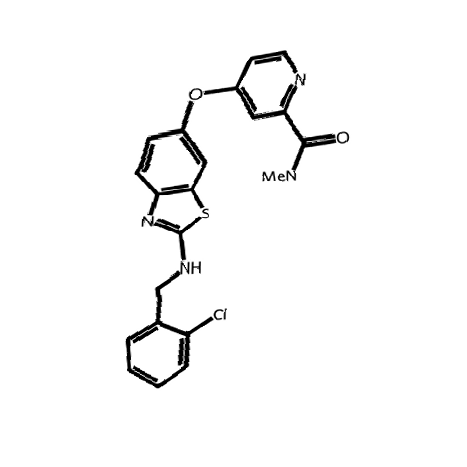 CNC(=O)c1cc(Oc2ccc3nc(NCc4ccccc4Cl)sc3c2)ccn1